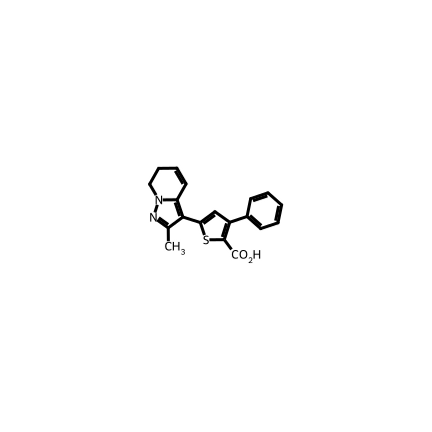 Cc1nn2c(c1-c1cc(-c3ccccc3)c(C(=O)O)s1)C=CCC2